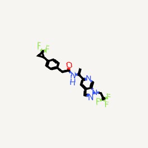 CC(NC(=O)Cc1ccc(C2CC2(F)F)cc1)c1cc2cnn(CC(F)(F)F)c2cn1